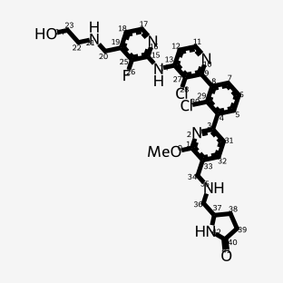 COc1nc(-c2cccc(-c3nccc(Nc4nccc(CNCCO)c4F)c3Cl)c2Cl)ccc1CNCC1CCC(=O)N1